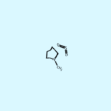 CN1CCCC1.O=S=O